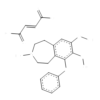 COc1cc2c(c(Sc3ccccc3)c1OC)CCN(C)CC2.O=C(O)/C=C/C(=O)O